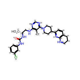 CCc1c(NC[C@H](NC(=O)Nc2cccc(Cl)c2)C(=O)O)ncnc1N1CCC(c2ccc3c(n2)NCCC3)CC1